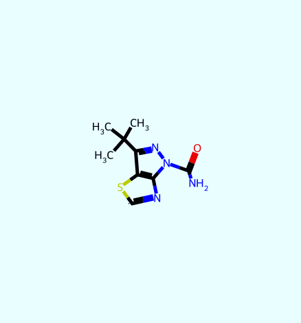 CC(C)(C)c1nn(C(N)=O)c2n[c]sc12